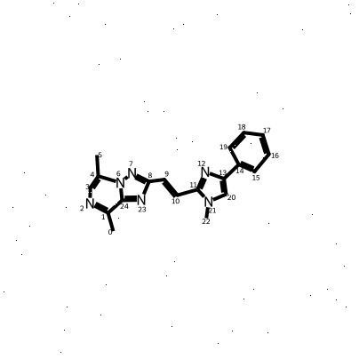 Cc1ncc(C)n2nc(/C=C/c3nc(-c4ccccc4)cn3C)nc12